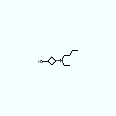 CCCCN(CC)C1CC(S)C1